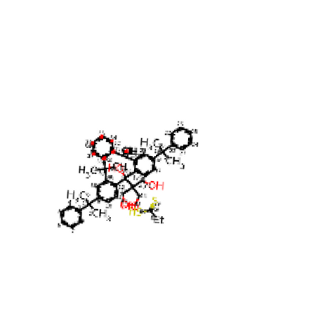 CC(C)(c1ccccc1)c1ccc(C(O)(c2ccc(C(C)(C)c3ccccc3)cc2C(C)(C)c2ccccc2)C(CO)(CO)CO)c(C(C)(C)c2ccccc2)c1.CCC(=S)S